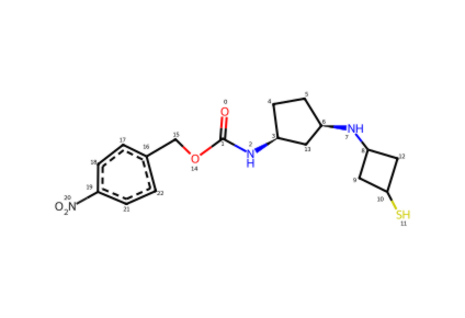 O=C(N[C@H]1CC[C@@H](NC2CC(S)C2)C1)OCc1ccc([N+](=O)[O-])cc1